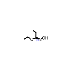 CCO/C(CC)=N/O